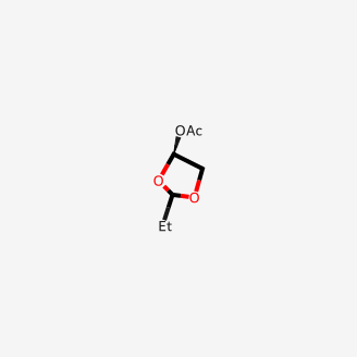 CCC1OC[C@H](OC(C)=O)O1